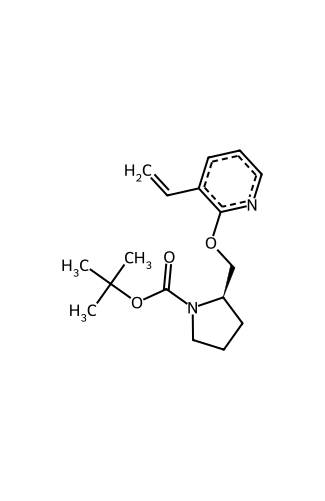 C=Cc1cccnc1OC[C@H]1CCCN1C(=O)OC(C)(C)C